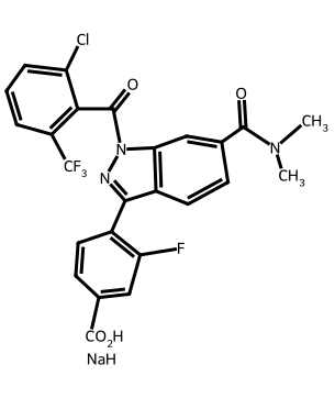 CN(C)C(=O)c1ccc2c(-c3ccc(C(=O)O)cc3F)nn(C(=O)c3c(Cl)cccc3C(F)(F)F)c2c1.[NaH]